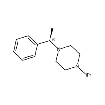 CC(C)N1CCN([C@H](C)c2ccccc2)CC1